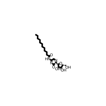 CCCCCCCCCCCC(=O)Nc1cnn([C@@H]2O[C@H](CO)[C@H](O)C2O)c(=O)n1